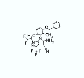 Cc1ccc(OCc2ccccc2)c(C)c1-n1c(N)c(C#N)c2c(C(F)(F)F)nn(CC(F)F)c21